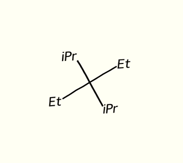 [CH2]CC(CC)(C(C)C)C(C)C